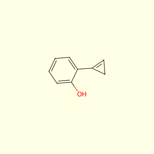 Oc1ccccc1C1=CC1